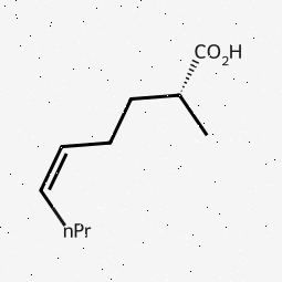 CCC/C=C\CC[C@@H](C)C(=O)O